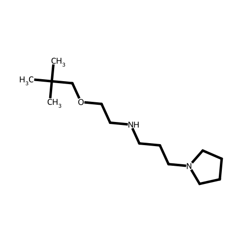 CC(C)(C)COCCNCCCN1CCCC1